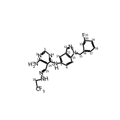 Nc1ncnc(Nc2ccc3c(cnn3Cc3cccc(F)c3)c2)c1/C=N/NCC(F)(F)F